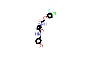 COC1CCCC(CNC(=O)C23CC(C2)[C@@H](NC(=O)COc2ccc(Cl)c(F)c2)C3)C1